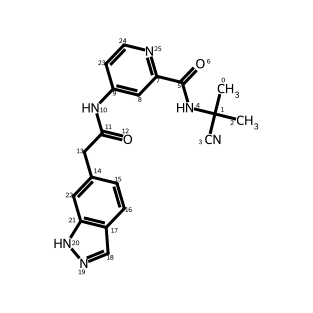 CC(C)(C#N)NC(=O)c1cc(NC(=O)Cc2ccc3cn[nH]c3c2)ccn1